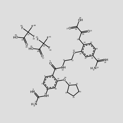 N=C(N)Nc1ccc(C(=O)NCCOc2cc(C(=N)N)ccc2CC(=O)C(=O)O)c(OC2CCCC2)c1.O=C(O)C(F)(F)F.O=C(O)C(F)(F)F